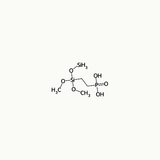 CO[Si](CCP(=O)(O)O)(OC)O[SiH3]